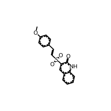 COc1ccc(/C=C/S(=O)(=O)c2cc3ccccc3[nH]c2=O)cc1